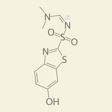 CN(C)/C=N\S(=O)(=O)c1nc2ccc(O)cc2s1